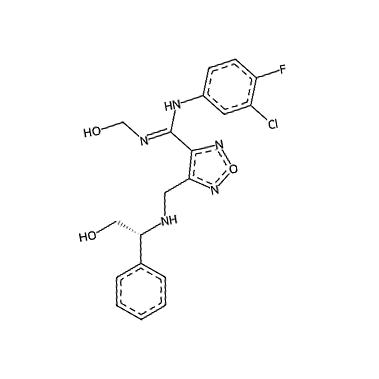 OC/N=C(\Nc1ccc(F)c(Cl)c1)c1nonc1CN[C@@H](CO)c1ccccc1